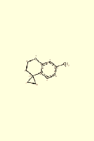 Cc1ccc2c(c1)OCCC21CC1